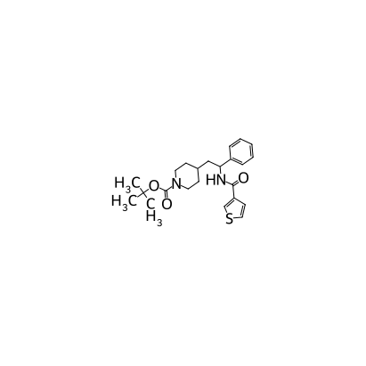 CC(C)(C)OC(=O)N1CCC(CC(NC(=O)c2ccsc2)c2ccccc2)CC1